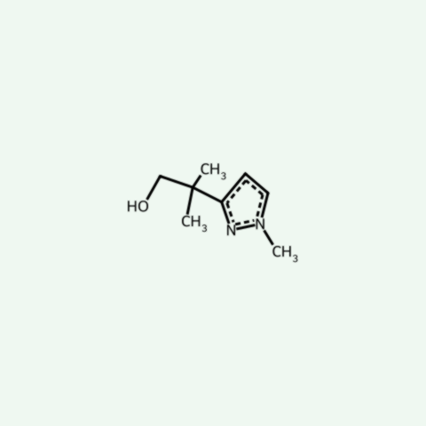 Cn1ccc(C(C)(C)CO)n1